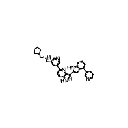 c1cncc(-c2cccc3[nH]c(-c4n[nH]c5ccc(-c6cncc(CNCC7CCCC7)c6)nc45)cc23)c1